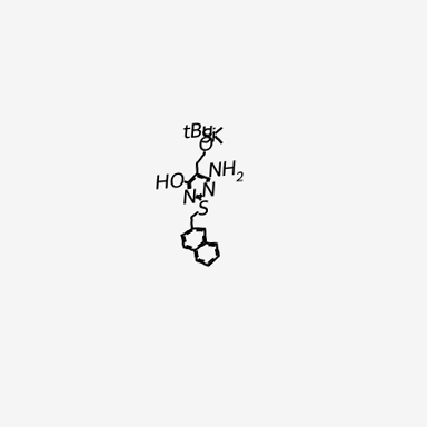 CC(C)(C)[Si](C)(C)OCCc1c(N)nc(SCc2ccc3ccccc3c2)nc1O